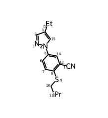 [CH2]Cc1cnn(-c2ccc(SCC(C)C)c(C#N)c2)c1